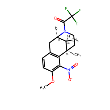 COc1ccc2c(c1[N+](=O)[O-])[C@]1(C)CCN(C(=O)C(F)(F)F)[C@H](C2)[C@H]1C